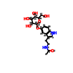 CC(=O)NCCc1c[nH]c2ccc(O[C@@H]3O[C@H](CO)[C@@H](O)[C@H](O)[C@H]3O)cc12